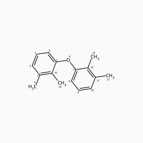 Cc1cccc(Oc2cccc(C)c2C)c1C